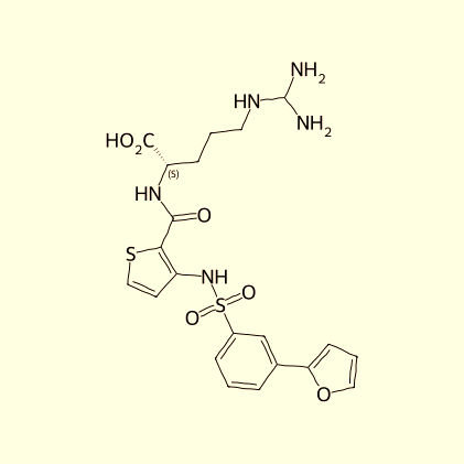 NC(N)NCCC[C@H](NC(=O)c1sccc1NS(=O)(=O)c1cccc(-c2ccco2)c1)C(=O)O